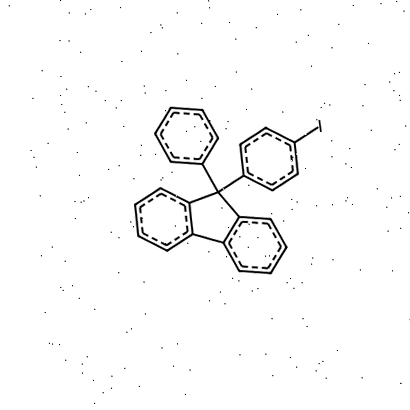 Ic1ccc(C2(c3ccccc3)c3ccccc3-c3ccccc32)cc1